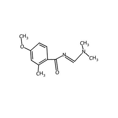 COc1ccc(C(=O)N=CN(C)C)c(C)c1